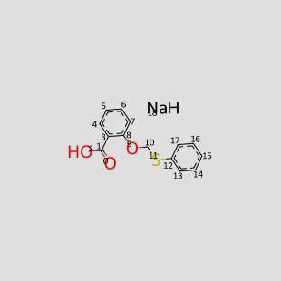 O=C(O)c1ccccc1OCSc1ccccc1.[NaH]